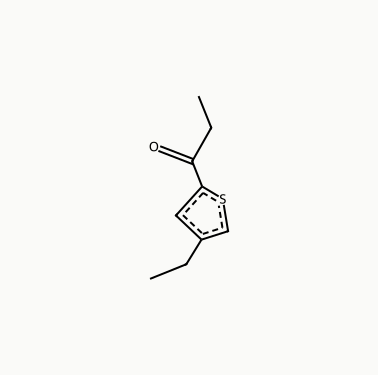 CCC(=O)c1cc(CC)cs1